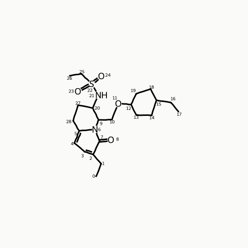 CCc1ccc2n(c1=O)C(COC1CCC(CC)CC1)C(NS(=O)(=O)CC)CC2